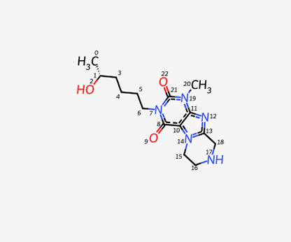 C[C@@H](O)CCCCn1c(=O)c2c(nc3n2CCNC3)n(C)c1=O